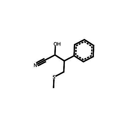 CSCC(c1ccccc1)C(O)C#N